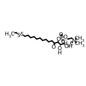 CCSSCCCCCCCCCCC(=O)C(OP(=O)([O-])OCC[N+](C)(C)C)[C@@H](O)CO